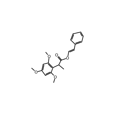 COc1cc(OC)c(C(C)C(=O)OC=Cc2ccccc2)c(OC)c1